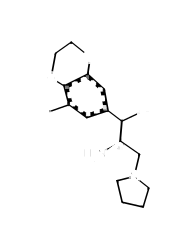 N[C@H](CN1CCCC1)C(O)c1cc(Cl)c2c(c1)OCCO2